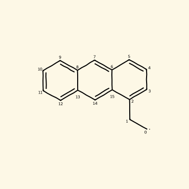 [CH2]Cc1cccc2cc3ccccc3cc12